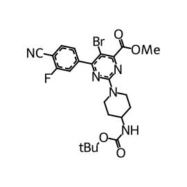 COC(=O)c1nc(N2CCC(NC(=O)OC(C)(C)C)CC2)nc(-c2ccc(C#N)c(F)c2)c1Br